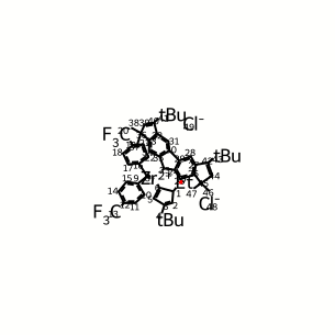 CCC1C=C(C(C)(C)C)C=[C]1[Zr+2](=[C](c1ccc(C(F)(F)F)cc1)c1ccc(C(F)(F)F)cc1)[CH]1c2cc3c(cc2-c2cc4c(cc21)C(C)(C)C=C4C(C)(C)C)C(C(C)(C)C)=CC3(C)C.[Cl-].[Cl-]